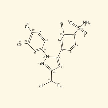 NS(=O)(=O)c1ccc(-c2cc(C(F)F)nn2-c2ccc(Cl)c(Cl)c2)cc1F